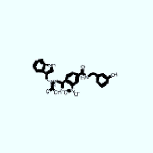 O=C(NCc1cccc(O)c1)c1ccc(C(=O)N[C@@H](Cc2c[nH]c3ccccc23)C(=O)O)c([N+](=O)[O-])c1